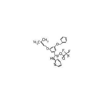 CC(C)=CCOc1cc(OCc2ccccc2)cc(C2Nc3ncccc3N2OC(=O)C(F)(F)F)c1